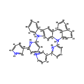 c1cncc(-c2cccc(N3c4cc5c(cc4-c4cccc6cccc3c46)c3ccccc3n5-c3cccc(-c4cccnc4)n3)n2)c1